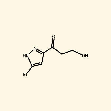 CCc1cc(C(=O)CCO)n[nH]1